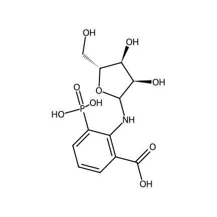 O=C(O)c1cccc(P(=O)(O)O)c1NC1O[C@H](CO)[C@@H](O)[C@H]1O